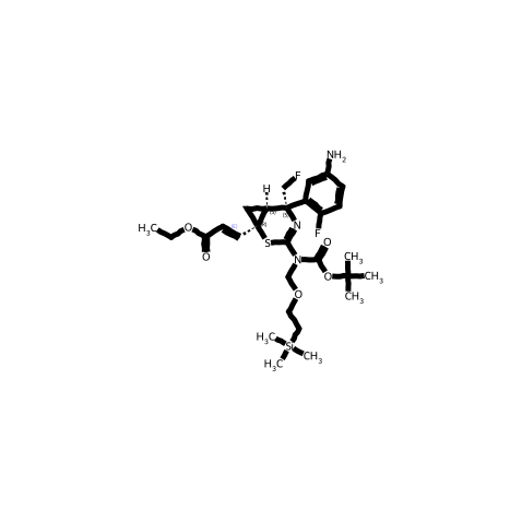 CCOC(=O)/C=C/[C@]12C[C@H]1[C@@](CF)(c1cc(N)ccc1F)N=C(N(COCC[Si](C)(C)C)C(=O)OC(C)(C)C)S2